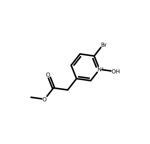 COC(=O)Cc1ccc(Br)[n+](O)c1